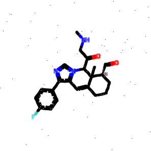 CNCC(=O)C1n2cnc(-c3ccc(F)cc3)c2C=C2CCC[C@H](C=O)C21C